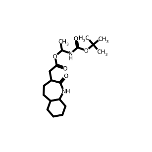 CC(NC(=O)OC(C)(C)C)OC(=O)CC1CCC2CCCCC2NC1=O